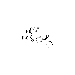 CCOC(=O)NCC(C)Oc1ccc(C(=O)c2ccccc2)cc1